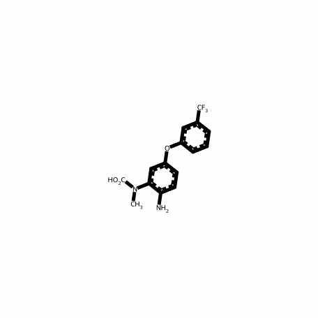 CN(C(=O)O)c1cc(Oc2cccc(C(F)(F)F)c2)ccc1N